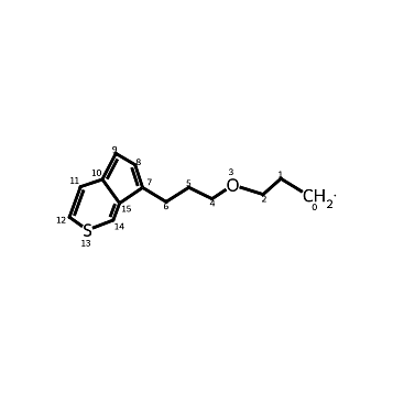 [CH2]CCOCCCc1ccc2ccscc1-2